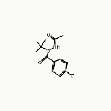 CC(=O)NN(C(=O)c1ccc(Cl)cc1)C(C)(C)C